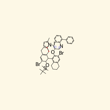 Cc1ccc(C)n1/C=C(/C=N\c1c(I)cccc1-c1ccccc1)Oc1c(Br)cc2c(c1C1C3=C(C=C(Br)C1O[Si](C)(C)C(C)(C)C)CCCC3)CCCC2